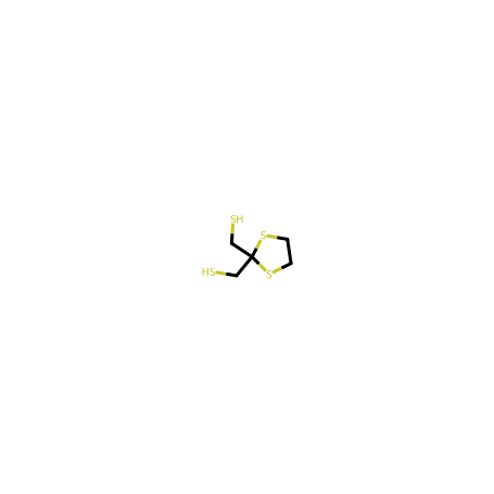 SCC1(CS)SCCS1